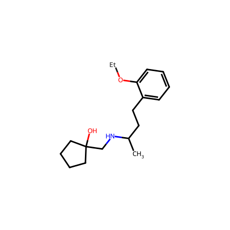 CCOc1ccccc1CCC(C)NCC1(O)CCCC1